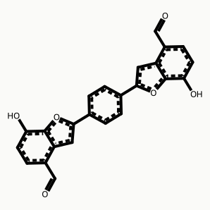 O=Cc1ccc(O)c2oc(-c3ccc(-c4cc5c(C=O)ccc(O)c5o4)cc3)cc12